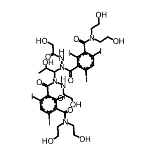 CC(O)C(N(NC(=O)CO)C(=O)c1c(I)cc(I)c(C(=O)N(CCO)CCO)c1I)N(NC(=O)CO)C(=O)c1c(I)cc(I)c(C(=O)N(CCO)CCO)c1I